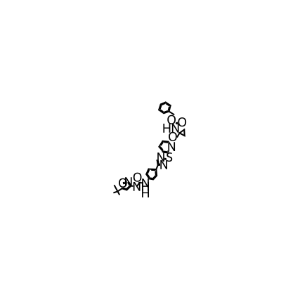 CC(C)(C)c1cc(NC(=O)Nc2ccc(-c3cn4c(n3)sc3nc(OCC5(NC(=O)OCc6ccccc6)CC5)ccc34)cc2)no1